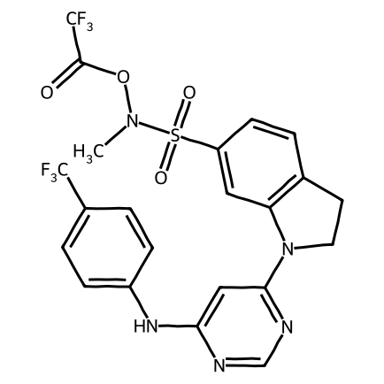 CN(OC(=O)C(F)(F)F)S(=O)(=O)c1ccc2c(c1)N(c1cc(Nc3ccc(C(F)(F)F)cc3)ncn1)CC2